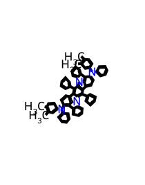 Cc1ccc(N(c2ccccc2)c2ccc3c4c(-c5ccccc5)c5c(c(-c6ccccc6)c4n4c6ccccc6c2c34)c2ccc(N(c3ccccc3)c3ccc(C)c(C)c3)c3c4ccccc4n5c23)cc1C